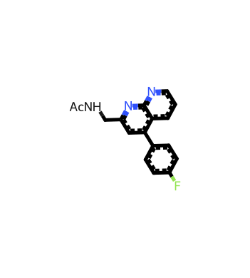 CC(=O)NCc1cc(-c2ccc(F)cc2)c2cccnc2n1